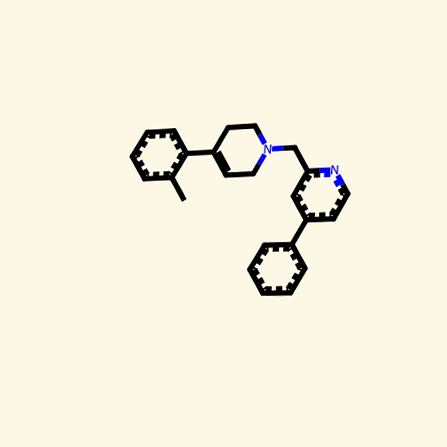 Cc1ccccc1C1=CCN(Cc2cc(-c3ccccc3)ccn2)CC1